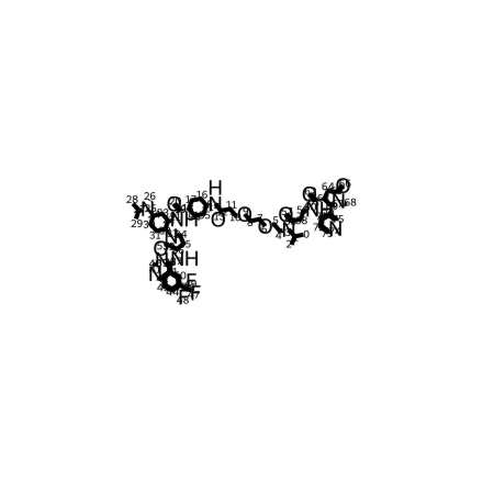 CC(C)N(CCOCCOCCC(=O)N[C@H]1CC[C@@H](C(=O)N[C@@H]2C[C@H](N(C)C(C)C)CC[C@@H]2N2CC[C@H](Nc3ncnc4ccc(C(F)(F)F)cc34)C2=O)CC1)C(=O)CCNC(=O)[C@H]1CC(=O)N(C)[C@@H]1c1cccnc1